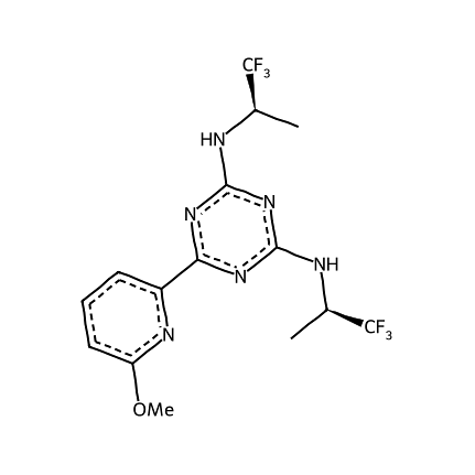 COc1cccc(-c2nc(N[C@H](C)C(F)(F)F)nc(N[C@H](C)C(F)(F)F)n2)n1